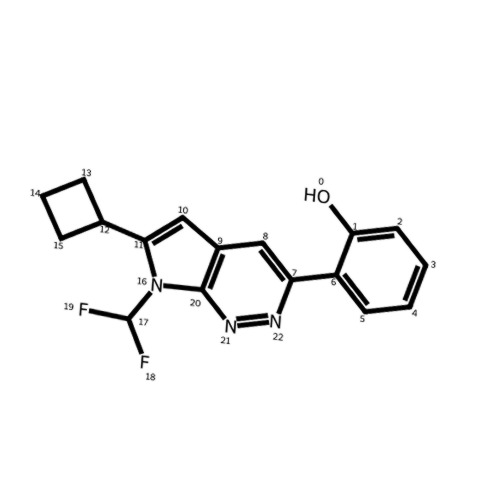 Oc1ccccc1-c1cc2cc(C3CCC3)n(C(F)F)c2nn1